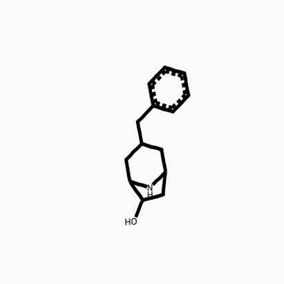 OC1CC2CC(Cc3ccccc3)CC1N2